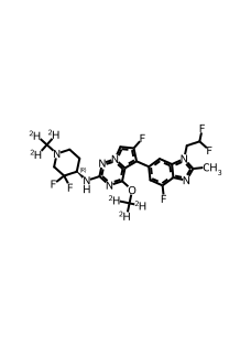 [2H]C([2H])([2H])Oc1nc(N[C@@H]2CCN(C([2H])([2H])[2H])CC2(F)F)nn2cc(F)c(-c3cc(F)c4nc(C)n(CC(F)F)c4c3)c12